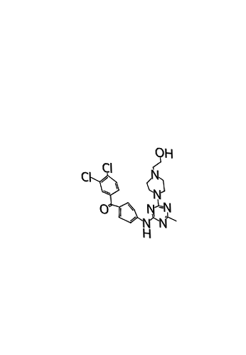 Cc1nc(Nc2ccc(C(=O)c3ccc(Cl)c(Cl)c3)cc2)nc(N2CCN(CCO)CC2)n1